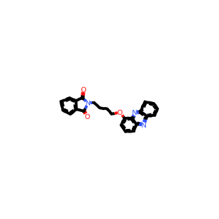 O=C1c2ccccc2C(=O)N1CCCCOc1cccc2nc3ccccc3nc12